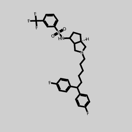 O=S(=O)(NC1CC[C@H]2CN(CCCCCC(c3ccc(F)cc3)c3ccc(F)cc3)CC12)c1cccc(C(F)(F)F)c1